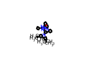 CC(C)(C)c1ccc2c(c1)c1cc(C(C)(C)C)ccc1n2-c1cc(-c2nc(-c3ccccc3)nc(-c3ccccc3)n2)c2c(c1)c1ccccc1n2-c1ccccc1